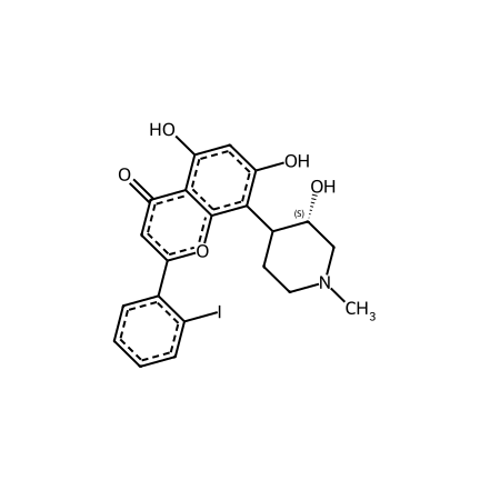 CN1CCC(c2c(O)cc(O)c3c(=O)cc(-c4ccccc4I)oc23)[C@H](O)C1